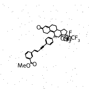 COC(=O)c1cccc(C=CC#Cc2ccc([C@H]3C[C@@]4(C)C(CC[C@@]4(O)C(F)(F)C(F)(F)F)C4CCC5=CC(=O)CCC5=C43)cc2)c1